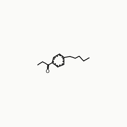 CCCCCc1ccc(C(=O)CC)cc1